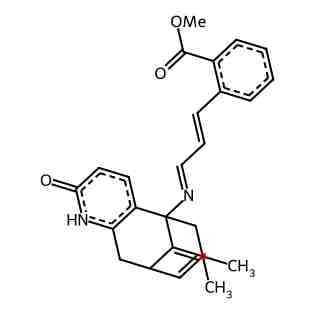 C/C=C1\C2C=C(C)CC1(/N=C/C=C/c1ccccc1C(=O)OC)c1ccc(=O)[nH]c1C2